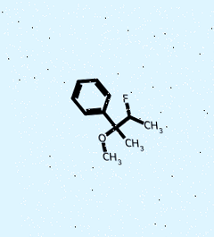 COC(C)(c1ccccc1)C(C)F